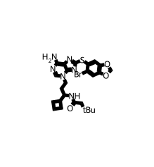 CC(C)(C)CC(=O)NC(CCn1cnc(N)c2nc(Sc3cc4c(cc3Br)OCO4)nc1-2)C1CCC1